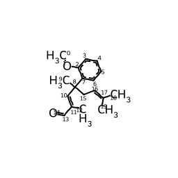 COc1ccccc1C(C)(/C=C(\C)C=O)CC=C(C)C